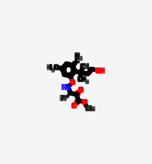 Cc1cc(C)c(C(C)(C)CCO)c(ON[C@H](C(=O)C(=O)OC(C)(C)C)C(C)C)c1